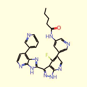 CCCCC(=O)Nc1cncc(-c2cnc3[nH]nc(-c4nc5c(-c6cccnc6)ccnc5[nH]4)c3c2F)c1